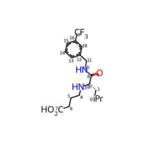 CC(C)C[C@H](NCCCC(=O)O)C(=O)NCc1cccc(C(F)(F)F)c1